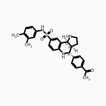 CC(=O)c1ccc([C@@H]2Nc3ccc(S(=O)(=O)Nc4ccc(C)c(C)c4)cc3[C@H]3NCC[C@H]32)cc1